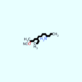 C=C/C=C(N)\C=C/CCC(/C=C\C)=C/C=C(\C)OC#N